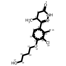 CC1CC(=O)NN=C1c1ccc(OCCCCO)c(Cl)c1F